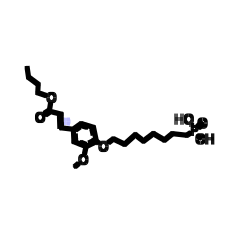 CCCCOC(=O)/C=C/c1ccc(OCCCCCCCCP(=O)(O)O)c(OC)c1